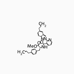 C=CCc1ccc(C[C@H](NC(=O)c2cccnc2-n2cc3cc(CC=C)ccc3n2)C(=O)OC)cc1